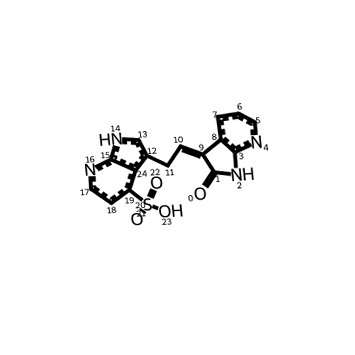 O=C1Nc2ncccc2C1=CCc1c[nH]c2nccc(S(=O)(=O)O)c12